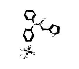 O=S(=O)([O-])C(F)(F)F.[O-][S+](Cc1ccco1)[S+](c1ccccc1)c1ccccc1